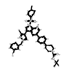 Cc1ccc(S(=O)(=O)n2cc(-c3cn(Cc4cccc(F)c4)nc3C)c3cc(-c4ccc(C5CCN(C(=O)OC(C)(C)C)CC5)cc4)cnc32)cc1